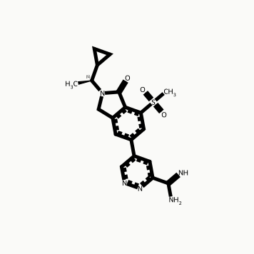 C[C@@H](C1CC1)N1Cc2cc(-c3cnnc(C(=N)N)c3)cc(S(C)(=O)=O)c2C1=O